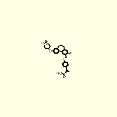 O=C(O)[C@H]1CC1c1ccc(OCc2cc3c(cc2F)CCCc2cc(OC4CCS(=O)(=O)CC4)ccc2-3)cc1